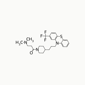 CN(C)CCC(=O)N1CCC(CCCN2c3ccccc3Sc3ccc(C(F)(F)F)cc32)CC1